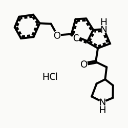 Cl.O=C(CC1CCNCC1)c1c[nH]c2ccc(OCc3ccccc3)cc12